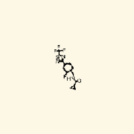 O=C(NCc1ccc(-c2noc(C(F)(F)F)n2)cc1F)C1CC1